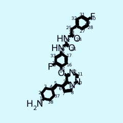 NC1CCC(=Cc2ccn3ncnc(Oc4ccc(NC(=O)NC(=O)Cc5ccc(F)cc5)cc4F)c23)CC1